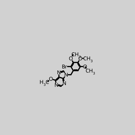 COc1cc(Cn2cnc3c(OC)ncnc32)c(Br)c(OC)c1OC